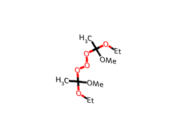 CCOC(C)(OC)OOOC(C)(OC)OCC